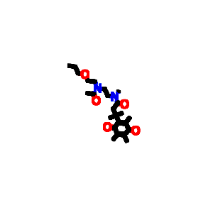 CCCOCCN(CCN(C)C(=O)CC(C)(C)C1=C(C)C(=O)C(C)=C(C)C1=O)C(C)=O